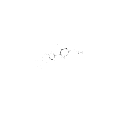 NCc1cnc(-c2nc3n(n2)CCN(S(=O)(=O)C(F)(F)F)C3)c(F)c1